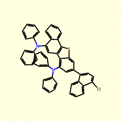 Clc1ccc(-c2cc(N(c3ccccc3)c3ccccc3)c3c(c2)sc2c4ccccc4c(N(c4ccccc4)c4ccccc4)cc23)c2ccccc12